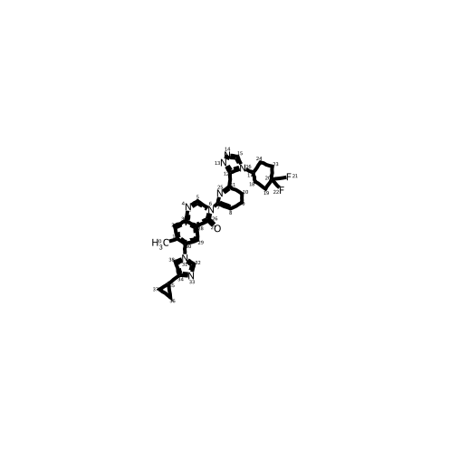 Cc1cc2ncn(C3=CCCC(c4nncn4C4CCC(F)(F)CC4)=N3)c(=O)c2cc1-n1cnc(C2CC2)c1